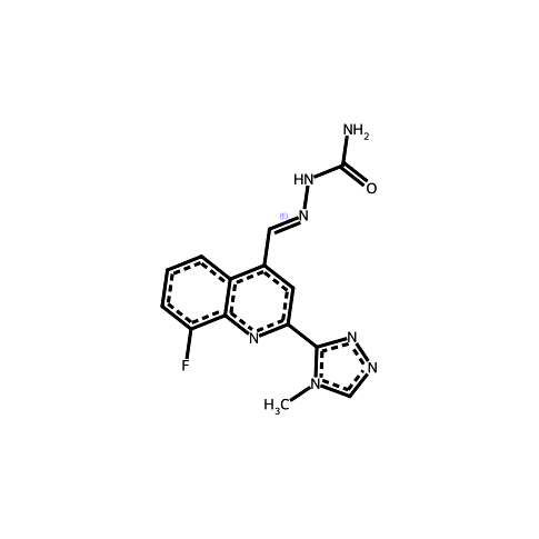 Cn1cnnc1-c1cc(/C=N/NC(N)=O)c2cccc(F)c2n1